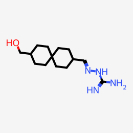 N=C(N)NN=CC1CCC2(CC1)CCC(CO)CC2